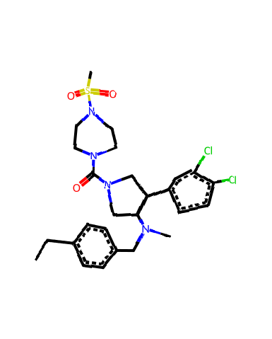 CCc1ccc(CN(C)C2CN(C(=O)N3CCN(S(C)(=O)=O)CC3)CC2c2ccc(Cl)c(Cl)c2)cc1